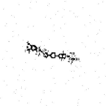 CC(C)(C)OC(=O)N1C[C@H]2CC(N3CCC(c4cnn(C(C)(C)C(=O)Nc5ccc(C#N)c(C(F)(F)F)c5)c4)CC3)C[C@H]2C1